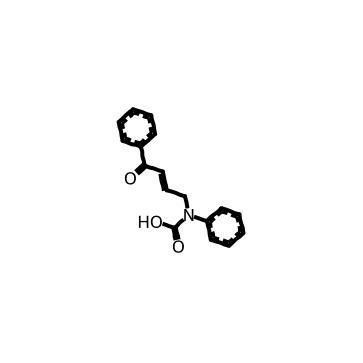 O=C(C=CCN(C(=O)O)c1ccccc1)c1ccccc1